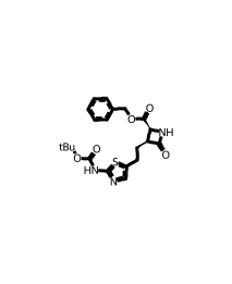 CC(C)(C)OC(=O)Nc1ncc(CC[C@@H]2C(=O)N[C@@H]2C(=O)OCc2ccccc2)s1